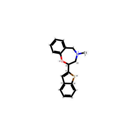 CCN1Cc2ccccc2OC(c2cc3ccccc3s2)C1